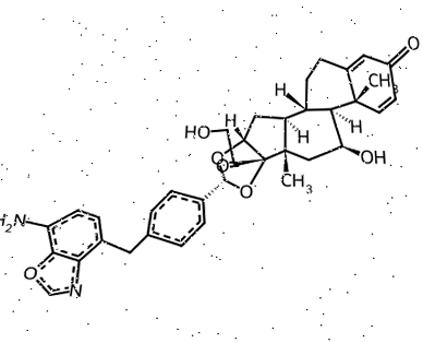 C[C@]12C=CC(=O)C=C1CC[C@@H]1[C@@H]2[C@@H](O)C[C@@]2(C)[C@H]1C[C@H]1O[C@@H](c3ccc(Cc4ccc(N)c5ocnc45)cc3)O[C@]12C(=O)CO